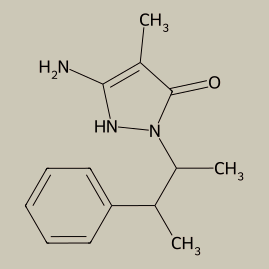 Cc1c(N)[nH]n(C(C)C(C)c2ccccc2)c1=O